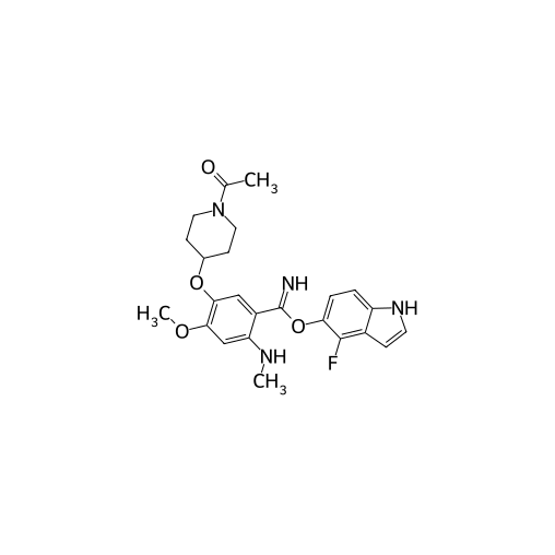 CNc1cc(OC)c(OC2CCN(C(C)=O)CC2)cc1C(=N)Oc1ccc2[nH]ccc2c1F